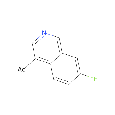 CC(=O)c1cncc2cc(F)ccc12